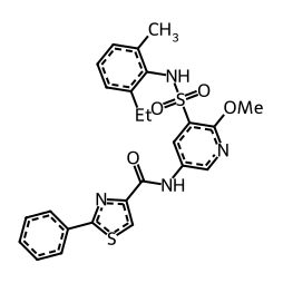 CCc1cccc(C)c1NS(=O)(=O)c1cc(NC(=O)c2csc(-c3ccccc3)n2)cnc1OC